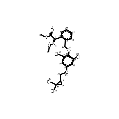 CNC(=O)C(=NOC)c1ccccc1COc1c(Cl)cc(OCC2CC2(Cl)Cl)cc1Cl